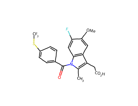 COc1cc2c(CC(=O)O)c(C)n(C(=O)c3ccc(SC(F)(F)F)cc3)c2cc1F